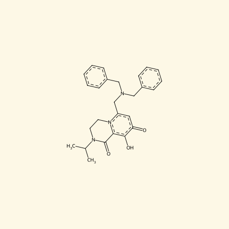 CC(C)N1CCn2c(CN(Cc3ccccc3)Cc3ccccc3)cc(=O)c(O)c2C1=O